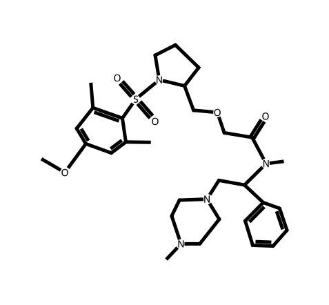 COc1cc(C)c(S(=O)(=O)N2CCCC2COCC(=O)N(C)C(CN2CCN(C)CC2)c2ccccc2)c(C)c1